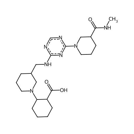 CNC(=O)C1CCCN(c2ncnc(NCC3CCCN(C4CCCCC4C(=O)O)C3)n2)C1